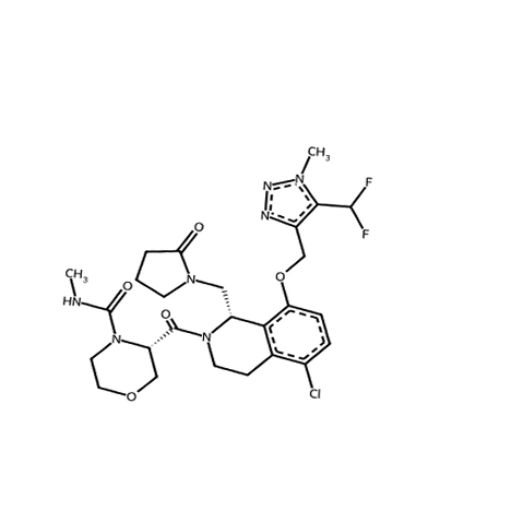 CNC(=O)N1CCOC[C@H]1C(=O)N1CCc2c(Cl)ccc(OCc3nnn(C)c3C(F)F)c2[C@H]1CN1CCCC1=O